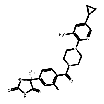 Cc1cc(C2CC2)cnc1N1CCN(C(=O)c2ccc([C@]3(C)NC(=O)NC3=O)cc2F)CC1